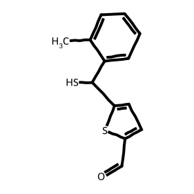 Cc1ccccc1C(S)c1ccc(C=O)s1